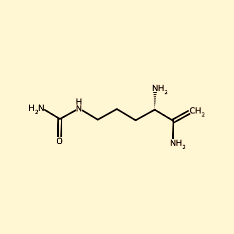 C=C(N)[C@@H](N)CCCNC(N)=O